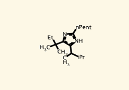 CCCCCc1nc(C(C)(C)CC)c(C(C)C(C)C)[nH]1